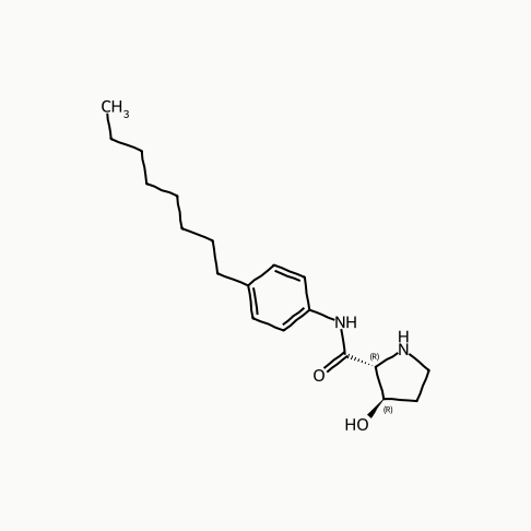 CCCCCCCCc1ccc(NC(=O)[C@@H]2NCC[C@H]2O)cc1